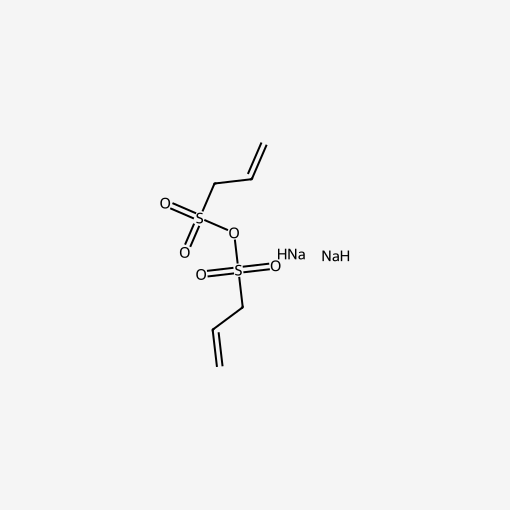 C=CCS(=O)(=O)OS(=O)(=O)CC=C.[NaH].[NaH]